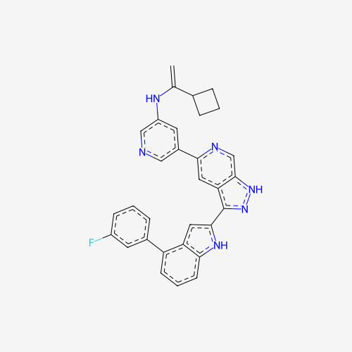 C=C(Nc1cncc(-c2cc3c(-c4cc5c(-c6cccc(F)c6)cccc5[nH]4)n[nH]c3cn2)c1)C1CCC1